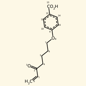 C=CC(=O)CCCCOc1ccc(C(=O)O)cc1